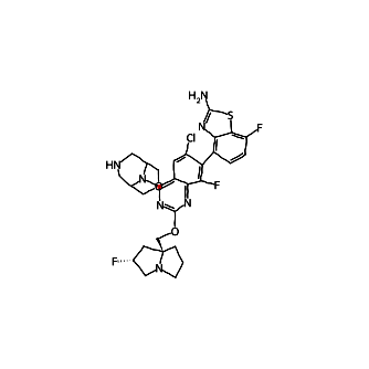 Nc1nc2c(-c3c(Cl)cc4c(N5C6CNCC5COC6)nc(OC[C@@]56CCCN5C[C@H](F)C6)nc4c3F)ccc(F)c2s1